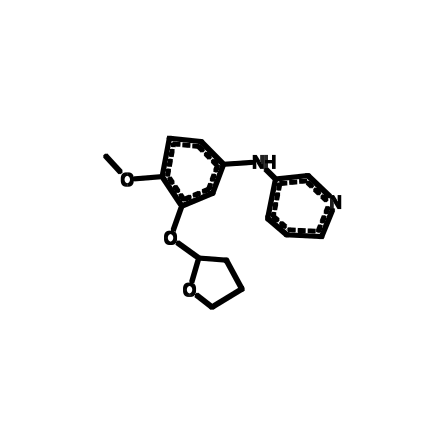 COc1ccc(Nc2cccnc2)cc1OC1CCCO1